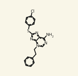 Nc1ncn(CCc2ccccc2)c2nc(Sc3ccc(Cl)cc3)nc1-2